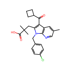 Cc1cnc2c(c1)c(C(=O)C1CCC1)c(CC(C)(C)C(=O)O)n2Cc1ccc(Cl)cc1